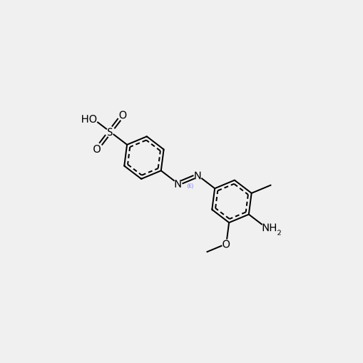 COc1cc(/N=N/c2ccc(S(=O)(=O)O)cc2)cc(C)c1N